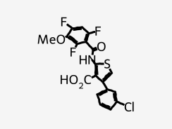 COc1c(F)cc(F)c(C(=O)Nc2scc(-c3cccc(Cl)c3)c2C(=O)O)c1F